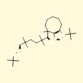 CC(C)(/C=N/OC(C)(C)C)CCC(C)(C)C(=O)C1(F)CCCCCc2c1nnn2C(C)(C)C